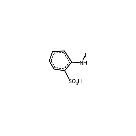 O=S(=O)(O)c1ccccc1NI